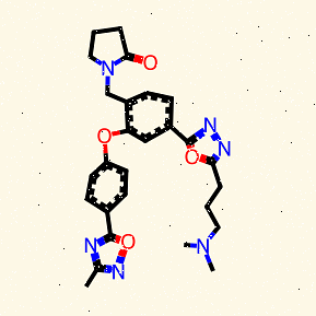 Cc1noc(-c2ccc(Oc3cc(-c4nnc(CCCN(C)C)o4)ccc3CN3CCCC3=O)cc2)n1